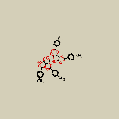 Cc1ccc(C(=O)OC(C(=O)O)C(OC(=O)c2ccc(C)cc2)C(=O)OC(=O)C(OC(=O)c2ccc(C)cc2)C(OC(=O)c2ccc(C)cc2)C(=O)O)cc1